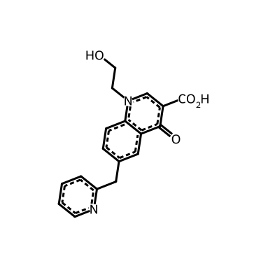 O=C(O)c1cn(CCO)c2ccc(Cc3ccccn3)cc2c1=O